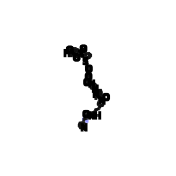 O=C(/C=C/c1cccnc1)NCCCCC1CCN(C(=O)c2ccc(N3CCN(C(=O)COCCOCCSc4cccc5c4CN(C4CCC(=O)NC4=O)C5=O)CC3)nn2)CC1